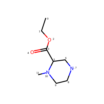 CCOC(=O)C1C[N]CCN1C